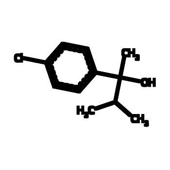 CC(C)C(C)(O)c1ccc(Cl)cc1